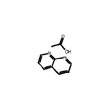 CC(=O)O.c1cnc2ncccc2c1